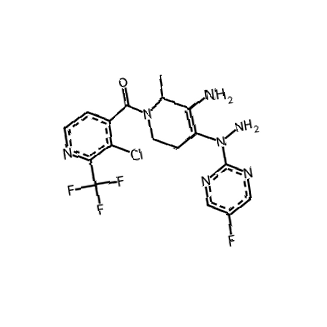 CC1C(N)=C(N(N)c2ncc(F)cn2)CCN1C(=O)c1ccnc(C(F)(F)F)c1Cl